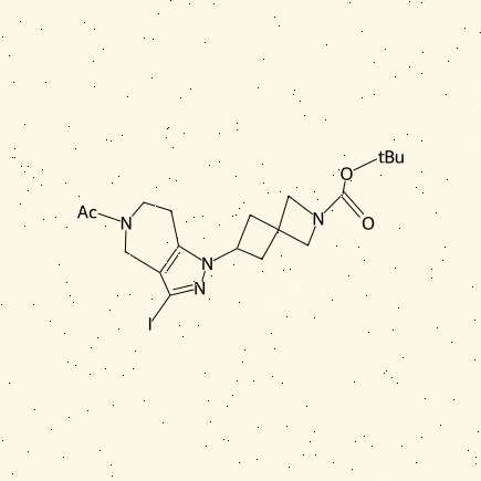 CC(=O)N1CCc2c(c(I)nn2C2CC3(C2)CN(C(=O)OC(C)(C)C)C3)C1